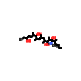 C=CC=CC(C)C(O)(NC(=O)O)C(C)C(O)C(C)CC(C)=CC(C)C(O)C(C)C=CC(O)CC(C)C